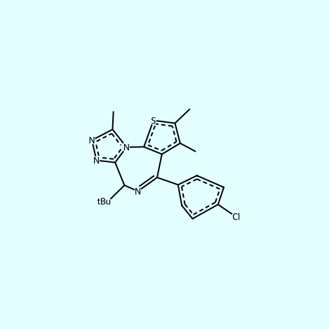 Cc1sc2c(c1C)C(c1ccc(Cl)cc1)=NC(C(C)(C)C)c1nnc(C)n1-2